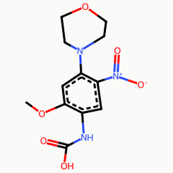 COc1cc(N2CCOCC2)c([N+](=O)[O-])cc1NC(=O)O